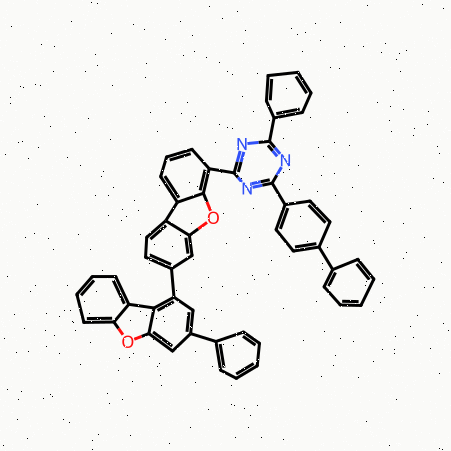 c1ccc(-c2ccc(-c3nc(-c4ccccc4)nc(-c4cccc5c4oc4cc(-c6cc(-c7ccccc7)cc7oc8ccccc8c67)ccc45)n3)cc2)cc1